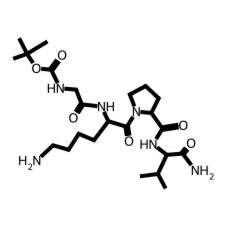 CC(C)C(NC(=O)C1CCCN1C(=O)C(CCCCN)NC(=O)CNC(=O)OC(C)(C)C)C(N)=O